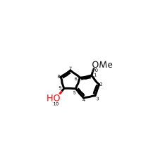 COc1cccc2c1C=CC2O